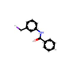 O=C(Nc1cccc(CI)c1)c1ccccc1